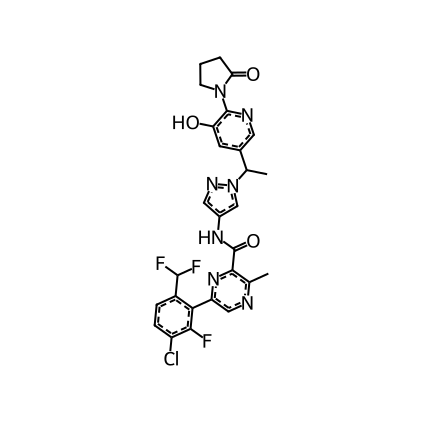 Cc1ncc(-c2c(C(F)F)ccc(Cl)c2F)nc1C(=O)Nc1cnn(C(C)c2cnc(N3CCCC3=O)c(O)c2)c1